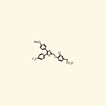 COc1ccc(-c2nc(COc3ccc(CC(=O)O)cc3Cl)sc2-c2ccc(C(F)(F)F)cc2)cc1